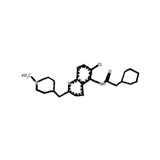 O=C(CC1CCCCC1)Nc1c(Cl)ccc2nc(CC3CCN(C(=O)O)CC3)ccc12